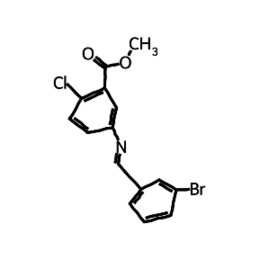 COC(=O)c1cc(N=Cc2cccc(Br)c2)ccc1Cl